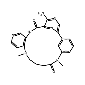 CN1CCCC(=O)N(C)c2cccc(c2)-c2cnc(N)c(n2)C(=O)Nc2cnccc21